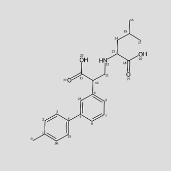 Cc1ccc(-c2cccc(C(CNC(CC(C)C)C(=O)O)C(=O)O)c2)cc1